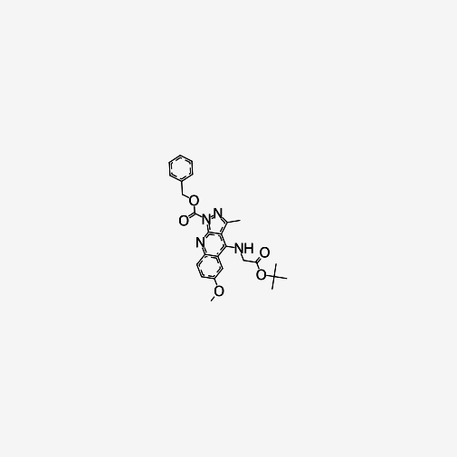 COc1ccc2nc3c(c(C)nn3C(=O)OCc3ccccc3)c(NCC(=O)OC(C)(C)C)c2c1